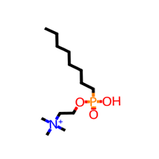 CCCCCCCCP(=O)(O)OCC[N+](C)(C)C